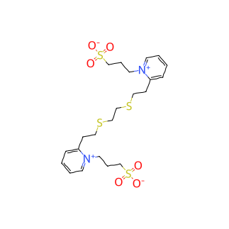 O=S(=O)([O-])CCC[n+]1ccccc1CCSCCSCCc1cccc[n+]1CCCS(=O)(=O)[O-]